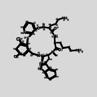 CN1C(=O)[C@H](CCCCN)NC(=O)[C@H](CCCN)NCc2cccnc2Sc2c(Cl)cc(Cl)cc2CNC(=O)[C@@H]1Cc1c[nH]c2ccccc12